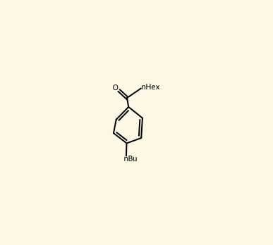 [CH2]CCCCCC(=O)c1ccc(CCCC)cc1